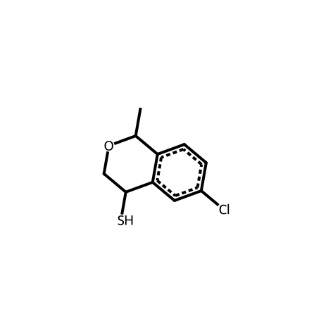 CC1OCC(S)c2cc(Cl)ccc21